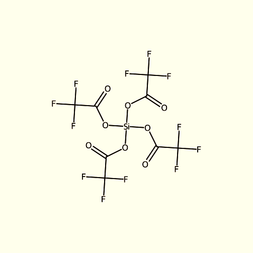 O=C(O[Si](OC(=O)C(F)(F)F)(OC(=O)C(F)(F)F)OC(=O)C(F)(F)F)C(F)(F)F